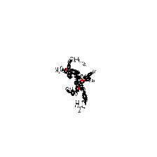 C=COc1ccc(C2(c3ccc(OC=C)cc3)c3ccccc3-c3c(-c4sc(-c5cccc6c5-c5ccccc5C6(c5ccc(Oc6ccc(C=C)cc6)cc5)c5ccc(Oc6ccc(C=C)cc6)cc5)c5nc6c7ccc(Br)cc7c7cc(Br)ccc7c6nc45)cccc32)cc1